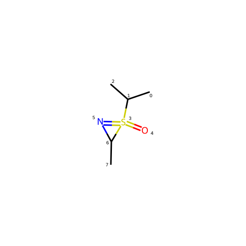 CC(C)S1(=O)=NC1C